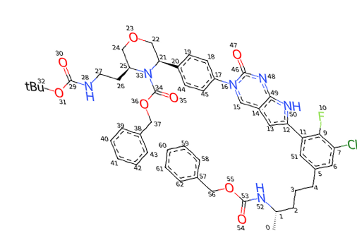 C[C@@H](CCCc1cc(Cl)c(F)c(-c2cc3cn(-c4ccc([C@@H]5COC[C@H](CCNC(=O)OC(C)(C)C)N5C(=O)OCc5ccccc5)cc4)c(=O)nc3[nH]2)c1)NC(=O)OCc1ccccc1